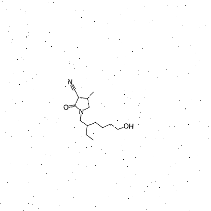 CCC(CCCCO)CN1CC(C)C(C#N)C1=O